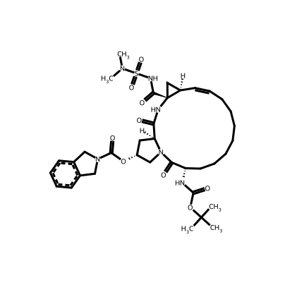 CN(C)S(=O)(=O)NC(=O)[C@@]12C[C@H]1/C=C\CCCCCCC[C@H](NC(=O)OC(C)(C)C)C(=O)N1C[C@H](OC(=O)N3Cc4ccccc4C3)C[C@H]1C(=O)N2